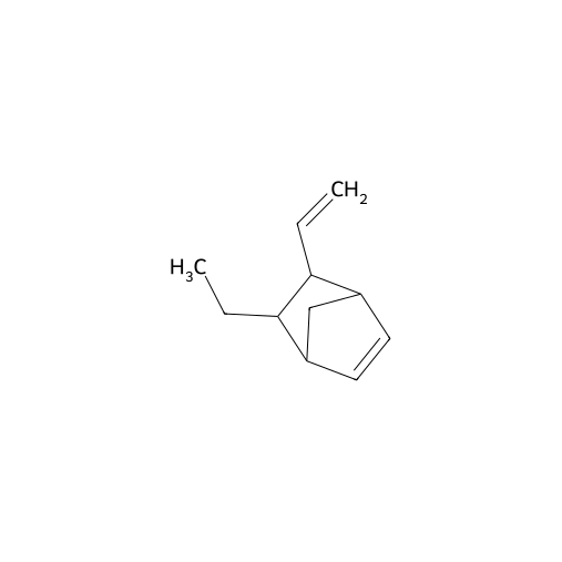 C=CC1C2C=CC(C2)C1CC